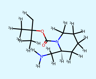 [2H]CC(OC(=O)N1C([2H])([2H])C([2H])([2H])C([2H])([2H])C([2H])([2H])[C@@]1([2H])C([2H])([2H])N([2H])[2H])(C([2H])([2H])[2H])C([2H])([2H])[2H]